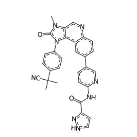 Cn1c(=O)n(-c2ccc(C(C)(C)C#N)cc2)c2c3cc(-c4ccc(NC(=O)c5cc[nH]n5)nc4)ccc3ncc21